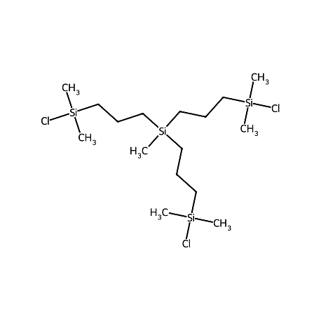 C[Si](C)(Cl)CCC[Si](C)(CCC[Si](C)(C)Cl)CCC[Si](C)(C)Cl